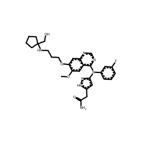 COc1cc2c(N(c3cccc(F)c3)c3cc(CC(N)=O)[nH]n3)ncnc2cc1OCCCNC1(CO)CCCC1